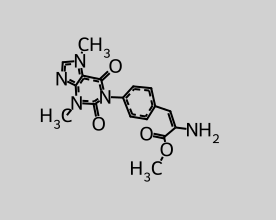 COC(=O)/C(N)=C\c1ccc(-n2c(=O)c3c(ncn3C)n(C)c2=O)cc1